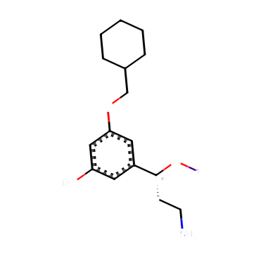 NCC[C@@H](OI)c1cc(O)cc(OCC2CCCCC2)c1